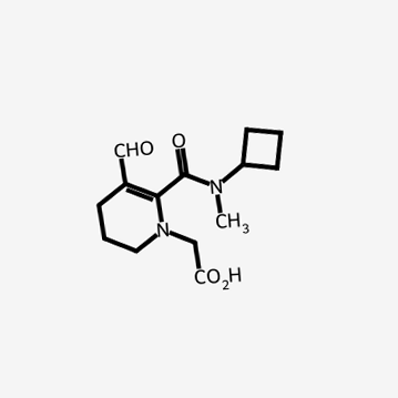 CN(C(=O)C1=C(C=O)CCCN1CC(=O)O)C1CCC1